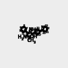 CC(O)C(N)C(c1ccccc1)N(N)Cc1ccc(-c2ccccn2)cc1